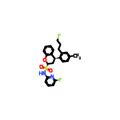 O=S(=O)(Nc1cccc(F)n1)[C@@H]1C[C@@H](c2ccc(C(F)(F)F)cc2CCCF)c2ccccc2O1